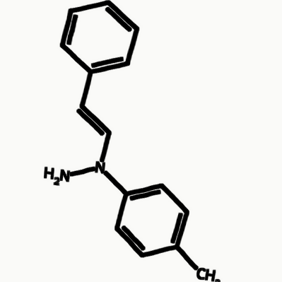 Cc1ccc(N(N)C=Cc2ccccc2)cc1